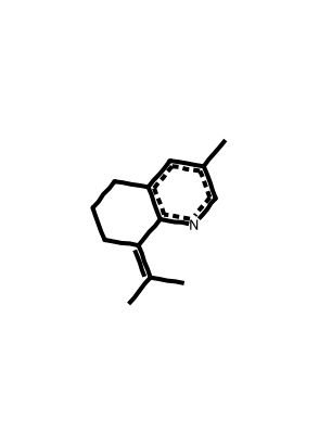 CC(C)=C1CCCc2cc(C)cnc21